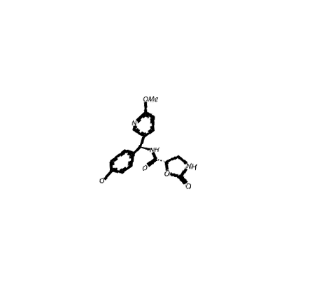 COc1ccc([C@@H](NC(=O)[C@@H]2CNC(=O)O2)c2ccc(Cl)cc2)cn1